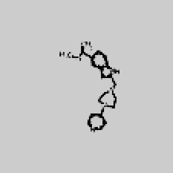 C=C(OC)c1ccc2[nH]c(CN3CCN(c4ccncc4)CC3)cc2c1